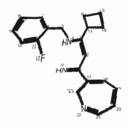 N=C(/C=C(\NCc1ccccc1F)C1CCC1)C1=CC=CC=NC1